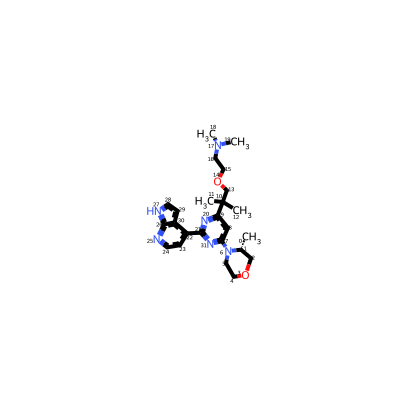 C[C@@H]1COCCN1c1cc(C(C)(C)COCCN(C)C)nc(-c2ccnc3[nH]ccc23)n1